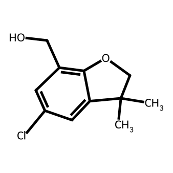 CC1(C)COc2c(CO)cc(Cl)cc21